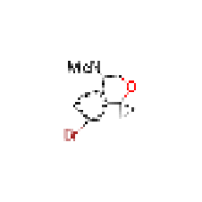 CN[C@@H]1COC2(CC2)c2cc(Br)ccc21